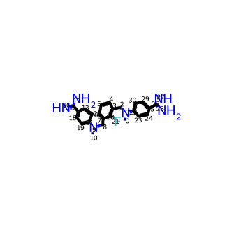 CN(Cc1cccc(CN(C)c2ccc(C(=N)N)cc2)c1F)c1ccc(C(=N)N)cc1